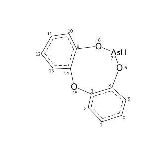 c1ccc2c(c1)O[AsH]Oc1ccccc1O2